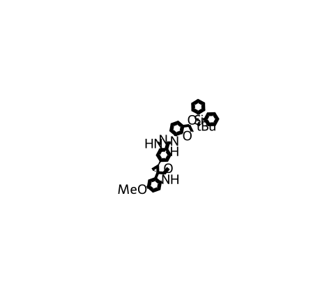 COc1ccc2c(c1)[C@]1(C[C@H]1c1ccc3c(Nc4cccc5c4OCC5O[Si](c4ccccc4)(c4ccccc4)C(C)(C)C)n[nH]c3c1)C(=O)N2